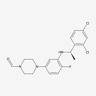 C[C@@H](Nc1cc(N2CCN(C=O)CC2)ccc1F)c1ccc(Cl)cc1Cl